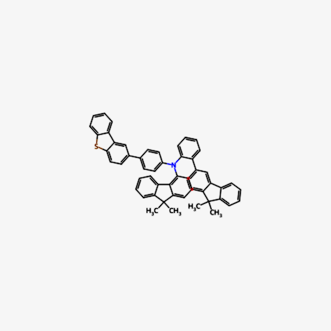 CC1(C)c2ccccc2-c2cc(-c3ccccc3N(c3ccc(-c4ccc5sc6ccccc6c5c4)cc3)c3cccc4c3-c3ccccc3C4(C)C)ccc21